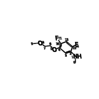 CNc1cc(OCCOC)c(F)cc1F